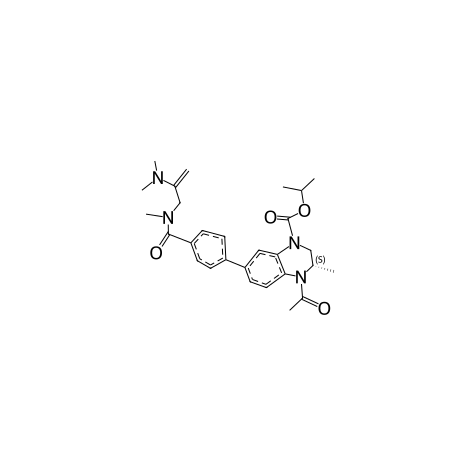 C=C(CN(C)C(=O)c1ccc(-c2ccc3c(c2)N(C(=O)OC(C)C)C[C@H](C)N3C(C)=O)cc1)N(C)C